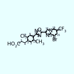 Cc1cc(CCC(=O)O)c(Cl)cc1-c1noc(-c2cn3cc(C(F)(F)F)cc(Br)c3n2)n1